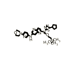 C[Si](C)(C)CCOCN(c1ccc2ncc(Nc3ccc(N4CCOCC4)nc3)cc2n1)c1nnc(C2CCCC2)s1